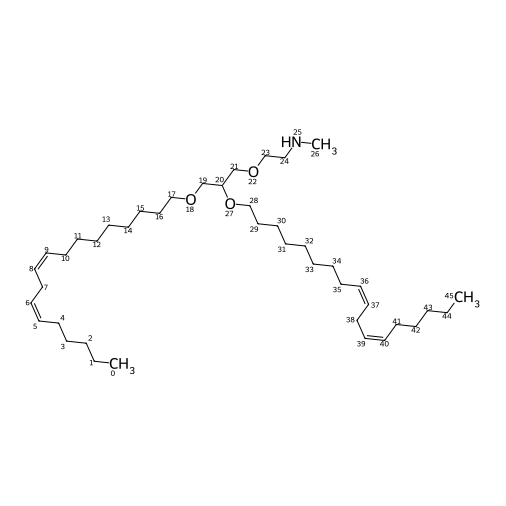 CCCCC/C=C\C/C=C\CCCCCCCCOCC(COCCNC)OCCCCCCCC/C=C\C/C=C\CCCCC